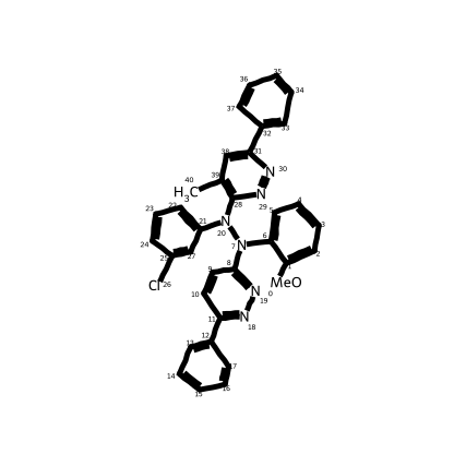 COc1ccccc1N(c1ccc(-c2ccccc2)nn1)N(c1cccc(Cl)c1)c1nnc(-c2ccccc2)cc1C